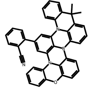 CC1(C)c2ccccc2N2c3cc(-c4ccccc4C#N)cc4c3B(c3cccc5c3N4c3ccccc3O5)c3cccc1c32